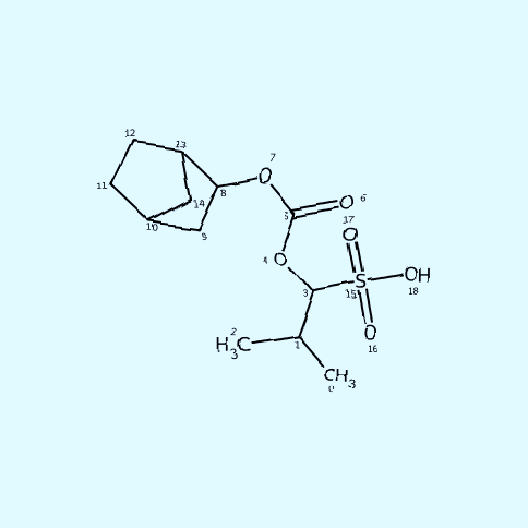 CC(C)C(OC(=O)OC1CC2CCC1C2)S(=O)(=O)O